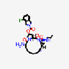 CCCNC(=O)[C@@]12C[C@H]1/C=C\CCCCC[C@H](N)C(=O)N1C[C@H](OC(=O)N3Cc4cccc(F)c4C3)C[C@H]1C(=O)N2